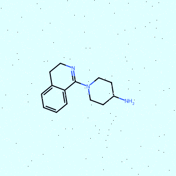 NC1CCN(C2=NCCc3ccccc32)CC1